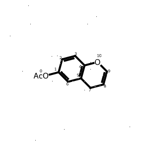 CC(=O)Oc1ccc2c(c1)CC=CO2